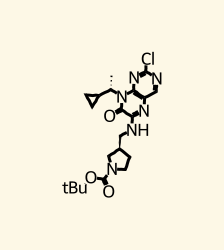 C[C@@H](C1CC1)n1c(=O)c(NC[C@H]2CCN(C(=O)OC(C)(C)C)C2)nc2cnc(Cl)nc21